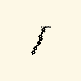 CCCCOc1cc(C)c(C#Cc2ccc3cc(-c4ccc(CCc5ccc(-c6ccc(C)cc6)cc5)cc4)ccc3c2)cc1F